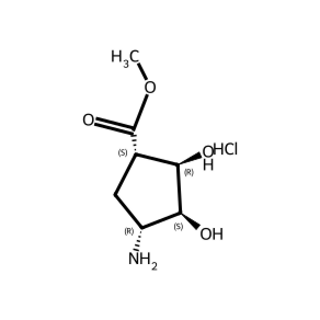 COC(=O)[C@H]1C[C@@H](N)[C@H](O)[C@@H]1O.Cl